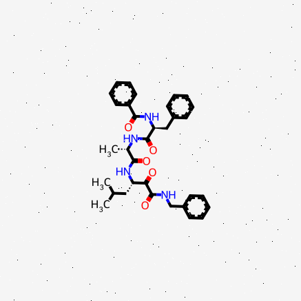 CC(C)C[C@H](NC(=O)[C@H](C)NC(=O)[C@H](Cc1ccccc1)NC(=O)c1ccccc1)C(=O)C(=O)NCc1ccccc1